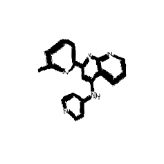 Cc1cccc(-c2cc(Nc3ccncc3)c3cccnc3n2)n1